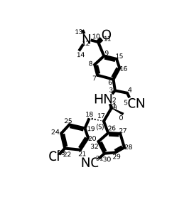 C[C@H](NC(CC#N)c1ccc(C(=O)N(C)C)cc1)[C@@H](Cc1ccc(Cl)cc1)c1cccc(C#N)c1